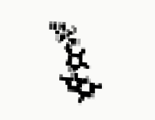 Cc1nc(C)c2cc(C)n([C@@H]3CC(CNS(N)(=O)=O)C(C)C3C)c2n1